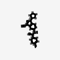 O=C(Nc1ccc2c(c1)B(O)OC2C1CCCC1)c1ccc(F)cc1